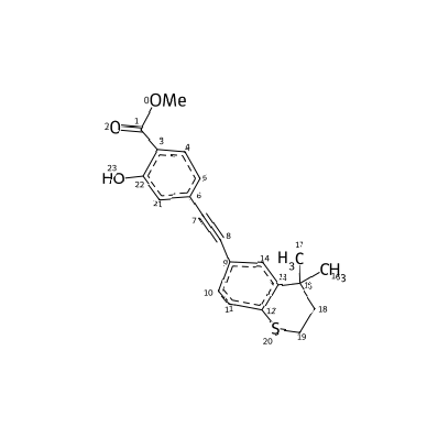 COC(=O)c1ccc(C#Cc2ccc3c(c2)C(C)(C)CCS3)cc1O